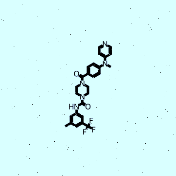 Cc1cc(NC(=O)N2CCN(C(=O)c3ccc(N(C)c4ccncc4)cc3)CC2)cc(C(F)(F)F)c1